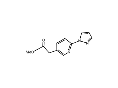 COC(=O)Cc1ccc(-n2cccn2)nc1